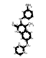 Cc1c(Sc2cccc(N)c2)c(=O)oc2cc(Oc3ncccn3)ccc12